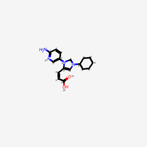 Nc1ccc(N2CN(C3CCCCC3)C=C2/C=C\C(=O)O)cn1